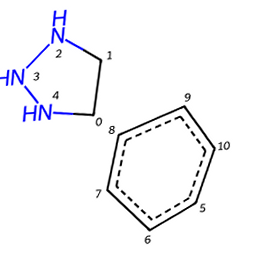 C1CNNN1.c1ccccc1